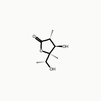 C[C@H]1C(=O)O[C@](C)([C@@H](C)O)[C@@H]1O